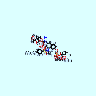 CCCCOC(=O)[C@@H](C)OP(=O)(COc1ccc(C[C@H](NC(=O)O[C@H]2CO[C@H]3OCC[C@H]32)[C@H](O)CN(CC(C)C)S(=O)(=O)c2ccc(OC)cc2)cc1)OCCCC